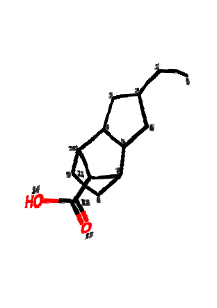 CCC1CC2C(C1)C1CCC2C1C(=O)O